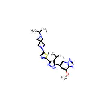 COc1cc(-c2[nH]nc(-c3ncc(N4CC5(C4)CN(C(C)C)C5)s3)c2C(C)C)cn2ncnc12